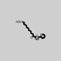 CCCCCCCC/C=C/CCCCCCCC(=O)c1nnc(-c2ccccn2)o1